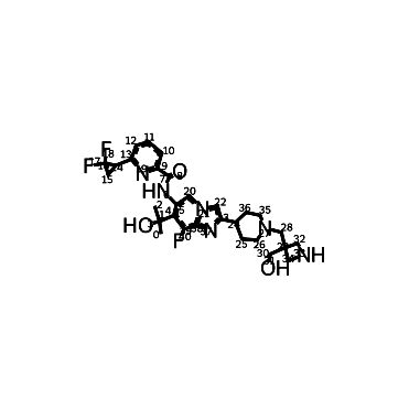 CC(C)(O)c1c(NC(=O)c2cccc(C3CC3(F)F)n2)cn2cc(C3CCN(CC4(CO)CNC4)CC3)nc2c1F